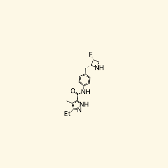 CCc1n[nH]c(C(=O)Nc2ccc(C[C@H]3NC[C@H]3F)cc2)c1C